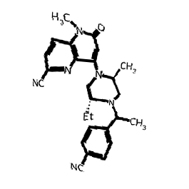 CC[C@@H]1CN(c2cc(=O)n(C)c3ccc(C#N)nc23)[C@@H](C)CN1C(C)c1ccc(C#N)cc1